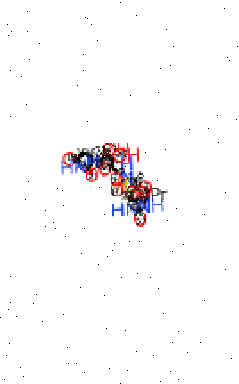 CC(C)OC(=O)[C@@H](C)NP(=O)(OCC1OC(n2ccc(=O)[nH]c2=O)[C@](C)(O)[C@@H]1O)SCC1NC(=O)NC1=O